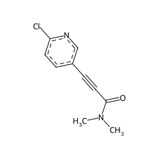 CN(C)C(=O)C#Cc1ccc(Cl)nc1